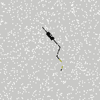 CCCCC#CCCSC(F)(F)F